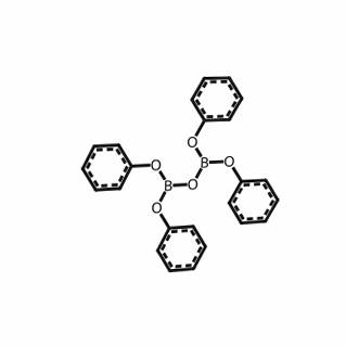 c1ccc(OB(OB(Oc2ccccc2)Oc2ccccc2)Oc2ccccc2)cc1